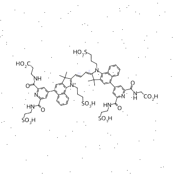 CC1(C)C(/C=C/C=C2/N(CCCS(=O)(=O)O)c3c(cc(-c4cc(C(=O)NCCS(=O)(=O)O)nc(C(=O)NCC(=O)O)c4)c4ccccc34)C2(C)C)=[N+](CCCS(=O)(=O)O)c2c1cc(-c1cc(C(=O)NCCC(=O)O)nc(C(=O)NCCS(=O)(=O)O)c1)c1ccccc21